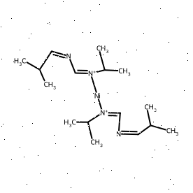 CC(C)/C=N\C=[N+](\[Ni]/[N+](=C/N=C\C(C)C)C(C)C)C(C)C